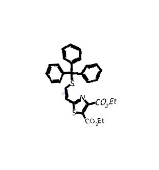 CCOC(=O)c1nc(/C=C\SC(c2ccccc2)(c2ccccc2)c2ccccc2)sc1C(=O)OCC